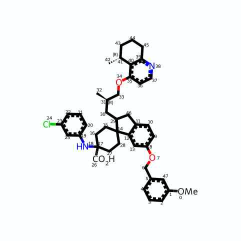 COc1cccc(COc2ccc3c(c2)C2(CCC(Nc4cccc(Cl)c4)(C(=O)O)CC2)C(C[C@@H](C)COc2ccnc4c2[C@H](C)CCC4)C3)c1